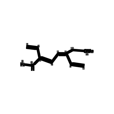 C=C/C(=C\C=C(/C=C)NCC)COC